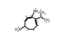 CN(C)/C1=C/CCC([N+](=O)[O-])C=C=C1N